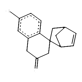 O=C1Cc2cc(Cl)ccc2C2(C1)CC1C=CC2C1